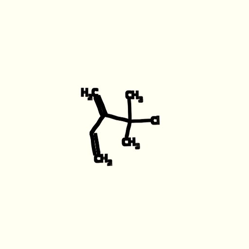 C=CC(=C)C(C)(C)Cl